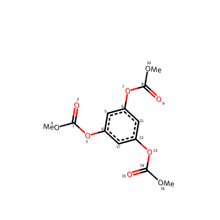 COC(=O)Oc1cc(OC(=O)OC)cc(OC(=O)OC)c1